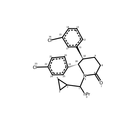 CCCC(C1CC1)N1C(=O)CC[C@H](c2cccc(Cl)c2)[C@H]1c1ccc(Cl)cc1